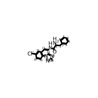 NC(Cc1ccccc1)C(=O)NC=Cc1cc(Cl)ccc1-n1cnnn1